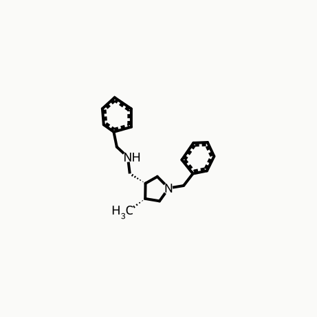 C[C@H]1CN(Cc2ccccc2)C[C@H]1CNCc1ccccc1